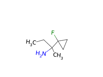 CCC(C)(N)C1(F)CC1